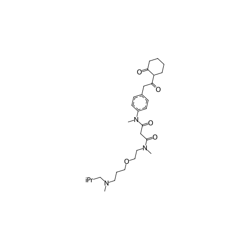 CC(C)CN(C)CCCOCCN(C)C(=O)CC(=O)N(C)c1ccc(CC(=O)C2CCCCC2=O)cc1